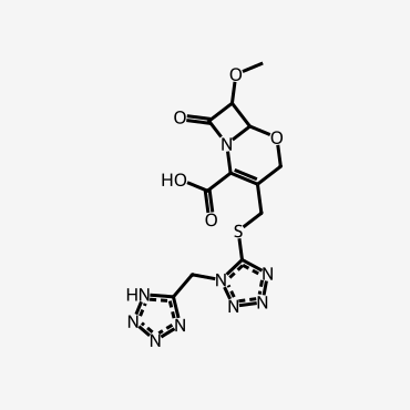 COC1C(=O)N2C(C(=O)O)=C(CSc3nnnn3Cc3nnn[nH]3)COC12